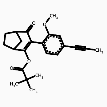 CC#Cc1ccc(C2=C(OC(=O)C(C)(C)C)C3CCC(C3)C2=O)c(OC)c1